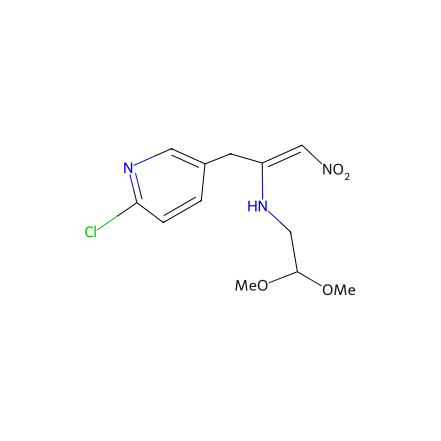 COC(CNC(=C[N+](=O)[O-])Cc1ccc(Cl)nc1)OC